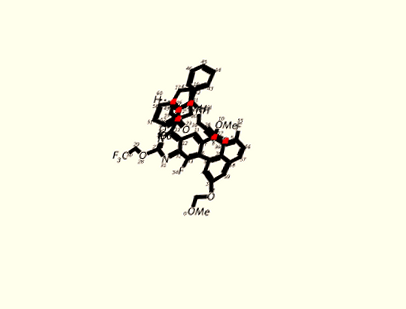 COCOc1cc(-c2c(C(=O)OC)cc3c(N4C[C@H]5CC[C@@H](C4)N5C(=O)OC(C)(C)C)nc(OCC(F)(F)F)nc3c2F)c2c(C#CCNC(c3ccccc3)c3ccccc3)c(F)ccc2c1